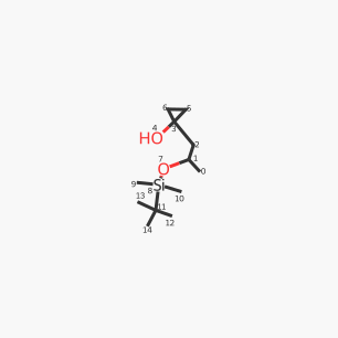 CC(CC1(O)CC1)O[Si](C)(C)C(C)(C)C